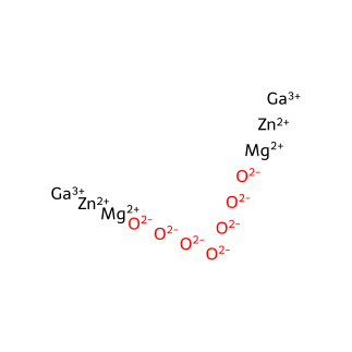 [Ga+3].[Ga+3].[Mg+2].[Mg+2].[O-2].[O-2].[O-2].[O-2].[O-2].[O-2].[O-2].[Zn+2].[Zn+2]